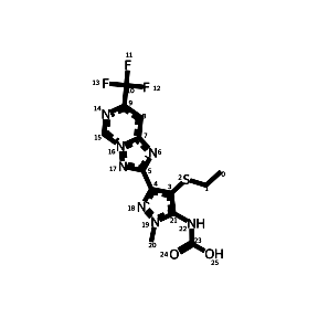 CCSc1c(-c2nc3cc(C(F)(F)F)ncn3n2)nn(C)c1NC(=O)O